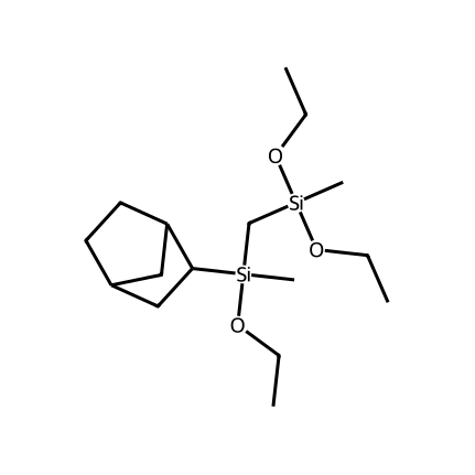 CCO[Si](C)(C[Si](C)(OCC)C1CC2CCC1C2)OCC